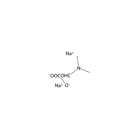 CN(C)C=O.O=C([O-])[O-].[Na+].[Na+]